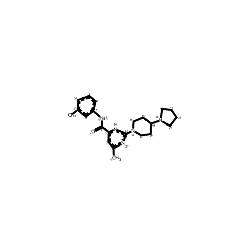 Cc1cc(C(=O)Nc2cccc(Cl)c2)nc(N2CCC(N3CCCC3)CC2)n1